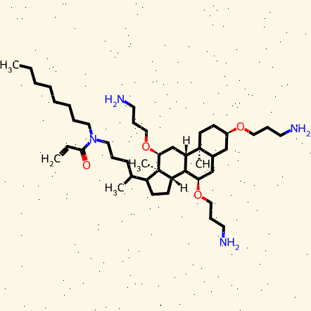 C=CC(=O)N(CCCCCCCC)CCCC(C)C1CC[C@H]2C3[C@H](OCCCN)CC4C[C@H](OCCCN)CC[C@]4(C)[C@H]3C[C@H](OCCCN)[C@]12C